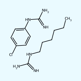 CCCCCCNC(=N)N.N=C(N)Nc1ccc(Cl)cc1